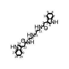 O=C(Cc1c[nH]c2ccccc12)NCCCNCCNC(=O)Cc1c[nH]c2ccccc12